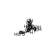 O=C(NCCCN1CCN(C(=O)NC(C(=O)N[C@H]2Cc3ccc(F)c(C(=O)O)c3OB2O)c2cc(F)c(O)c(O)c2Cl)C(=O)C1=O)c1cccc(O)c1